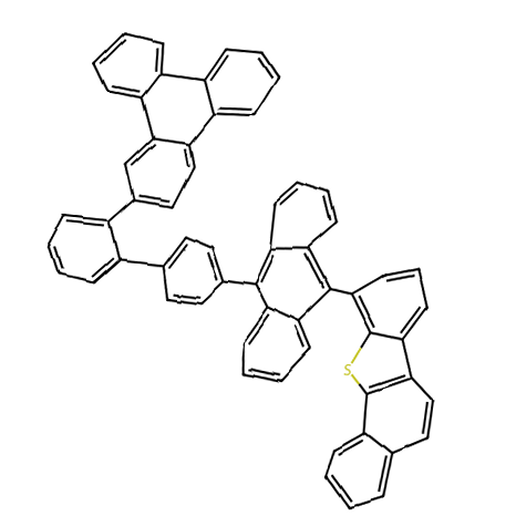 c1ccc(-c2ccc3c4ccccc4c4ccccc4c3c2)c(-c2ccc(-c3c4ccccc4c(-c4cccc5c4sc4c6ccccc6ccc54)c4ccccc34)cc2)c1